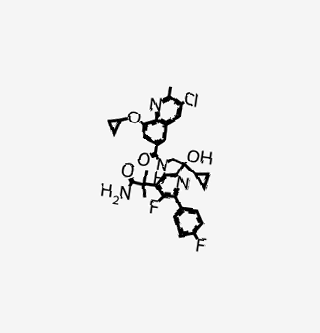 Cc1nc2c(OC3CC3)cc(C(=O)NC[C@](O)(c3cc(C(C)(C)C(N)=O)c(F)c(-c4ccc(F)cc4)n3)C3CC3)cc2cc1Cl